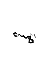 Nc1cn(CCCCN2CCCC2)c2ccccc12